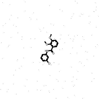 COc1cccc(C(=O)Nc2cccc(Cl)c2)c1OC